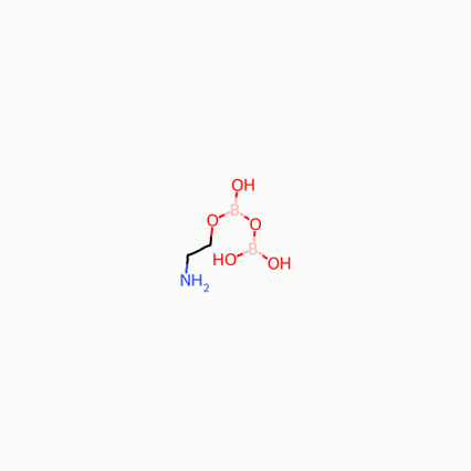 NCCOB(O)OB(O)O